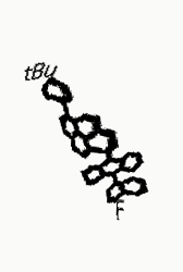 CC(C)(C)c1ccc(-c2ccc3ccc4c(-c5c6ccccc6c(-c6ccc(F)c7ccccc67)c6ccccc56)ccc5ccc2c3c54)cc1